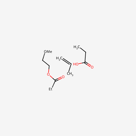 C=CC.CCC(=O)O.CCC(=O)OCCOC